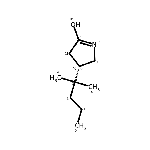 CCCC(C)(C)[C@H]1CN=C(O)C1